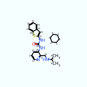 C1CCCCC1.CC(C)NCc1ncccc1NC(=O)Nc1cc2ccccc2s1